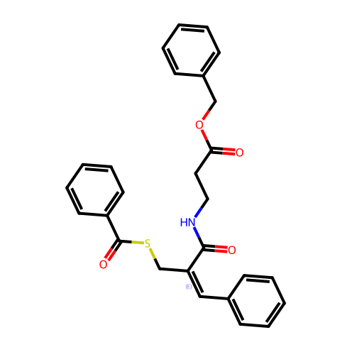 O=C(CCNC(=O)/C(=C\c1ccccc1)CSC(=O)c1ccccc1)OCc1ccccc1